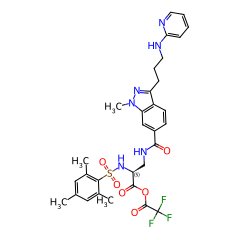 Cc1cc(C)c(S(=O)(=O)N[C@@H](CNC(=O)c2ccc3c(CCCNc4ccccn4)nn(C)c3c2)C(=O)OC(=O)C(F)(F)F)c(C)c1